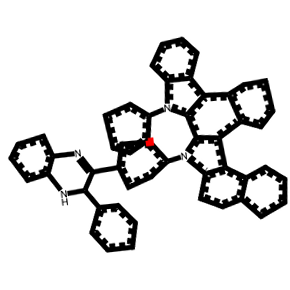 c1ccc(C2Nc3ccccc3N=C2c2ccc(-n3c4ccc5ccccc5c4c4c5ccccc5c5c6ccccc6n(-c6ccccc6)c5c43)cc2)cc1